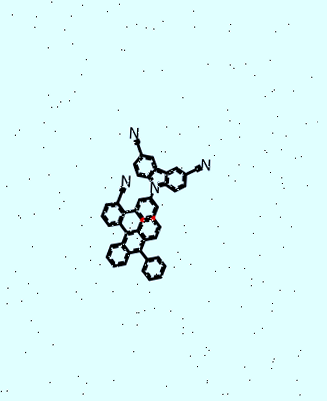 N#Cc1ccc2c(c1)c1cc(C#N)ccc1n2-c1cccc(-c2c(C#N)cccc2-c2c3ccccc3c(-c3ccccc3)c3ccccc23)c1